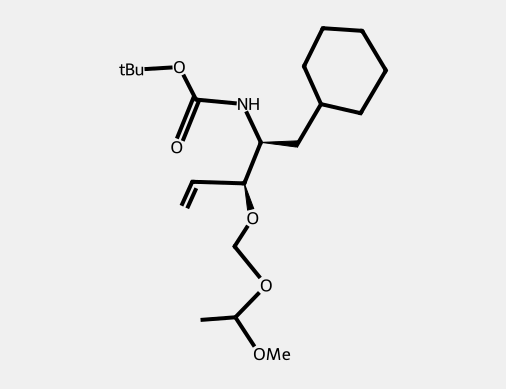 C=C[C@H](OCOC(C)OC)[C@H](CC1CCCCC1)NC(=O)OC(C)(C)C